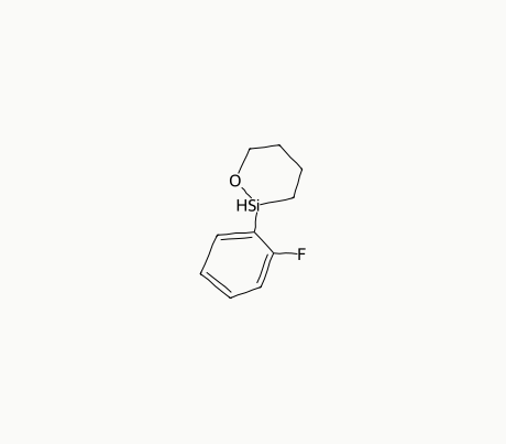 Fc1ccccc1[SiH]1CCCCO1